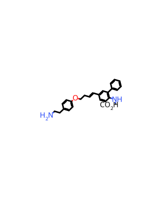 NCCc1ccc(OCCC=Cc2ccc(NC(=O)O)c(-c3ccccc3)c2)cc1